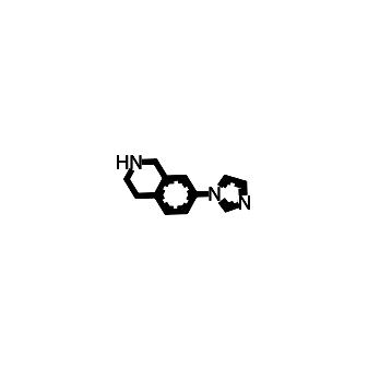 c1cn(-c2ccc3c(c2)CNCC3)cn1